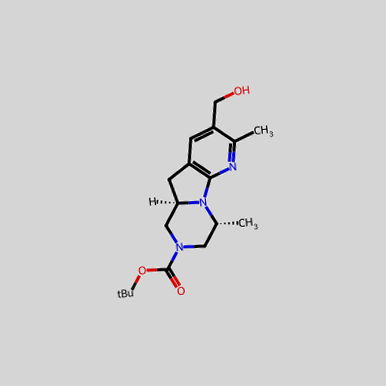 Cc1nc2c(cc1CO)C[C@@H]1CN(C(=O)OC(C)(C)C)C[C@@H](C)N21